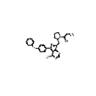 N#CCC(=O)N1CCCC1Cn1nc(-c2ccc(Oc3ccccc3)cc2)c2c(N)ncnc21